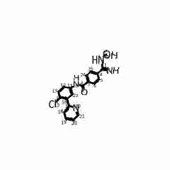 N=C(NO)c1ccc(C(=O)Nc2ccc(Cl)c(-c3ccccn3)c2)cc1